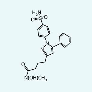 CN(O)C(=O)CCCc1cc(-c2ccccc2)n(-c2ccc(S(N)(=O)=O)cc2)n1